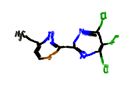 Cc1csc(-c2nc(Cl)c(F)c(Cl)n2)n1